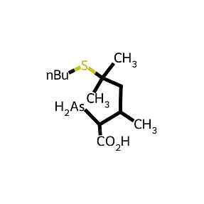 CCCCSC(C)(C)CC(C)C([AsH2])C(=O)O